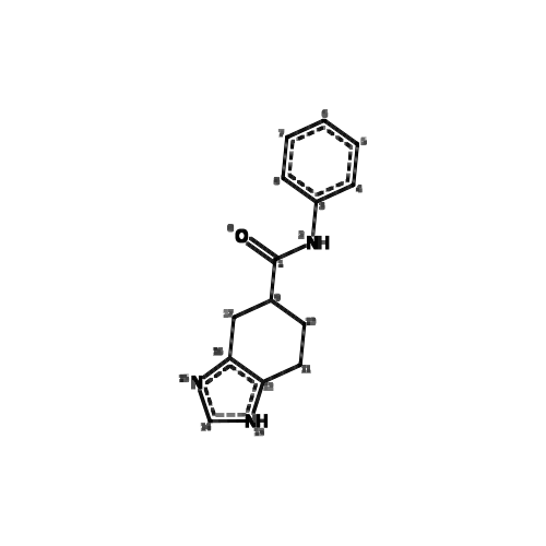 O=C(Nc1ccccc1)C1CCc2[nH]cnc2C1